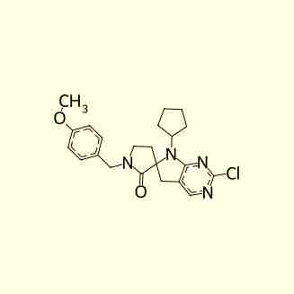 COc1ccc(CN2CCC3(Cc4cnc(Cl)nc4N3C3CCCC3)C2=O)cc1